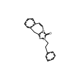 O=c1n(CCc2ccccc2)nc2n1C=Cc1ccccc1C2